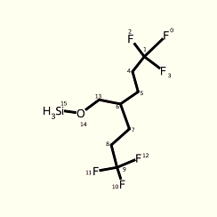 FC(F)(F)CCC(CCC(F)(F)F)CO[SiH3]